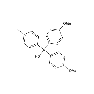 COc1ccc(C(O)(c2ccc(C)cc2)c2ccc(OC)cc2)cc1